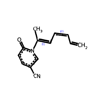 C=C/C=C\C=C(/C)n1cc(C#N)ccc1=O